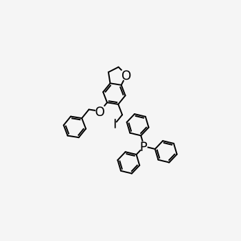 ICc1cc2c(cc1OCc1ccccc1)CCO2.c1ccc(P(c2ccccc2)c2ccccc2)cc1